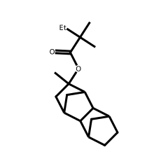 CCC(C)(C)C(=O)OC1(C)CC2CC1C1C3CCC(C3)C21